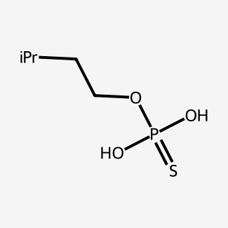 CC(C)CCOP(O)(O)=S